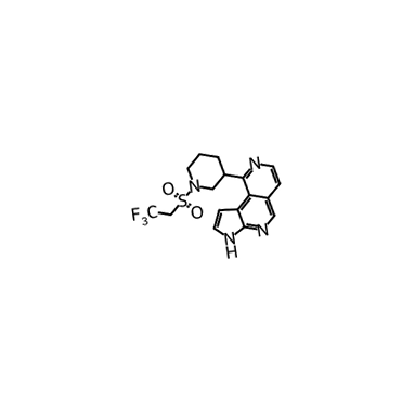 O=S(=O)(CC(F)(F)F)N1CCCC(c2nccc3cnc4[nH]ccc4c23)C1